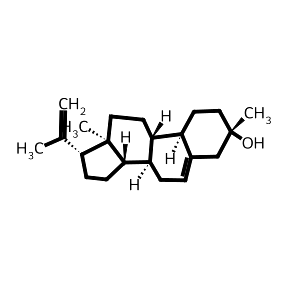 C=C(C)[C@H]1CC[C@H]2[C@@H]3CC=C4C[C@@](C)(O)CC[C@@H]4[C@H]3CC[C@]12C